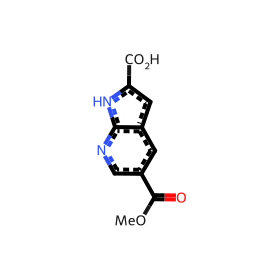 COC(=O)c1cnc2[nH]c(C(=O)O)cc2c1